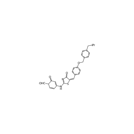 CC(C)Cc1ccc(COc2ccc(C=C3SC(NC4=CC(=O)C([C]=O)C=C4)=NC3=O)cc2)cc1